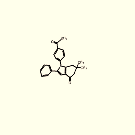 CC1(C)CC(=O)c2cc(-c3ccccc3)n(-c3ccc(C(N)=O)cc3)c2C1